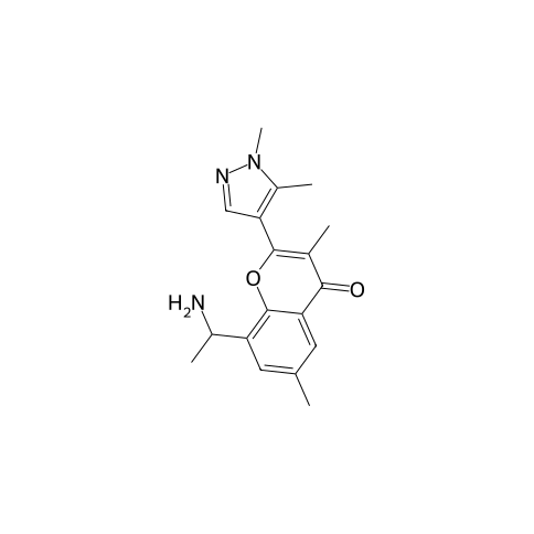 Cc1cc(C(C)N)c2oc(-c3cnn(C)c3C)c(C)c(=O)c2c1